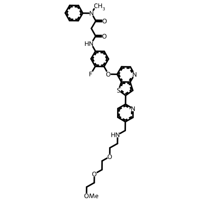 COCCOCCOCCNCc1ccc(-c2cc3nccc(Oc4ccc(NC(=O)CC(=O)N(C)c5ccccc5)cc4F)c3s2)nc1